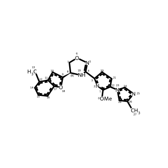 COc1nc(C2=NOC[C@H](c3cc4c(C)cccc4o3)N2)ccc1-n1cnc(C)c1